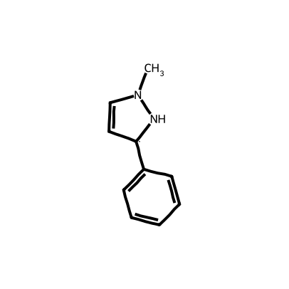 CN1C=C[C](c2ccccc2)N1